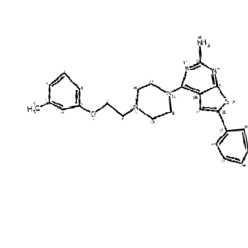 Cc1cccc(OCCN2CCN(c3nc(N)nc4sc(-c5ccccc5)cc34)CC2)c1